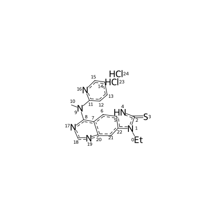 CCn1c(=S)[nH]c2cc3c(N(C)c4ccccn4)ncnc3cc21.Cl.Cl